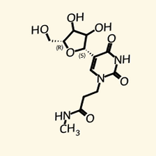 CNC(=O)CCn1cc([C@@H]2O[C@H](CO)C(O)C2O)c(=O)[nH]c1=O